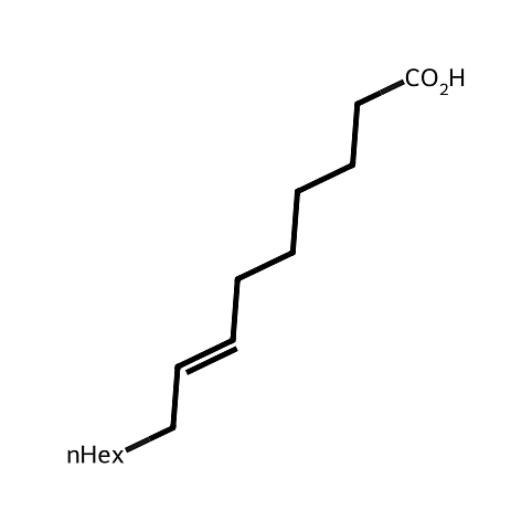 CCCCCCC/C=C/CCCCCC(=O)O